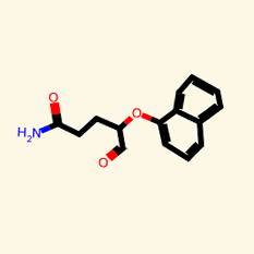 NC(=O)CCC([C]=O)Oc1cccc2ccccc12